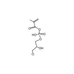 C=C(C)C(=O)OP(=O)(O)OCC(O)CCl